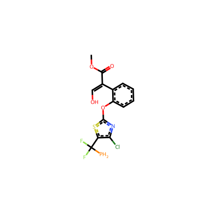 COC(=O)/C(=C/O)c1ccccc1Oc1nc(Cl)c(C(F)(F)P)s1